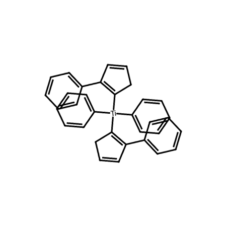 C1=CC(c2ccccc2)=[C]([Ti]([C]2=C(c3ccccc3)C=CC2)([c]2ccccc2)[c]2ccccc2)C1